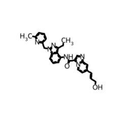 CCc1nn(Cc2cccc(C)n2)c2cccc(NC(=O)c3cnc4cc(C=CCO)ccn34)c12